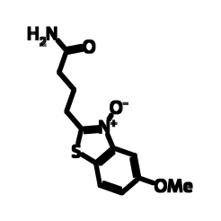 COc1ccc2sc(CCCC(N)=O)[n+]([O-])c2c1